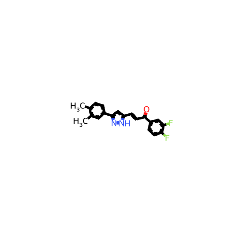 Cc1ccc(-c2cc(C=CC(=O)c3ccc(F)c(F)c3)[nH]n2)cc1C